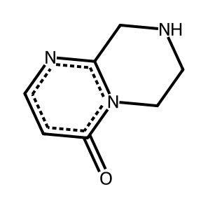 O=c1ccnc2n1CCNC2